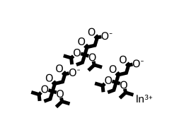 CCC(OC(C)C)(OC(C)C)C(=O)CC(=O)[O-].CCC(OC(C)C)(OC(C)C)C(=O)CC(=O)[O-].CCC(OC(C)C)(OC(C)C)C(=O)CC(=O)[O-].[In+3]